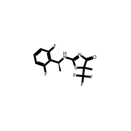 C[C@H](NC1=NC(=O)C(C)(C(F)(F)F)S1)c1c(F)cccc1F